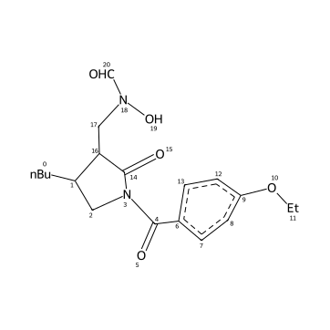 CCCCC1CN(C(=O)c2ccc(OCC)cc2)C(=O)C1CN(O)C=O